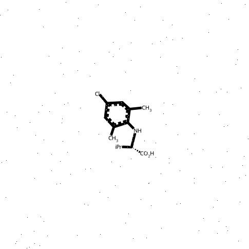 Cc1cc(Cl)cc(C)c1N[C@H](C(=O)O)C(C)C